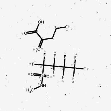 C=C(CCC)C(=O)O.CNS(=O)(=O)C(F)(F)C(F)(F)C(F)(F)C(F)(F)F